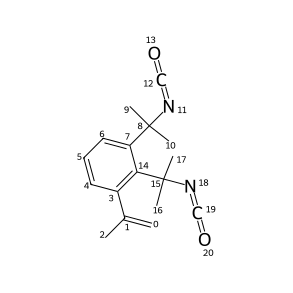 C=C(C)c1cccc(C(C)(C)N=C=O)c1C(C)(C)N=C=O